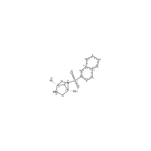 O=S(=O)(c1ccc2ccccc2c1)N1C[C@H]2C[C@@H]1CN2